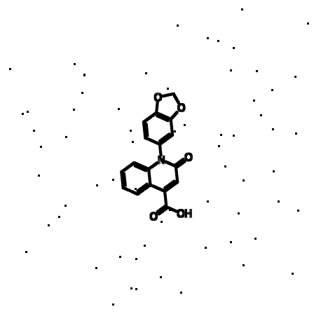 O=C(O)c1cc(=O)n(-c2ccc3c(c2)OCO3)c2ccccc12